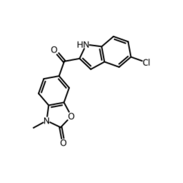 Cn1c(=O)oc2cc(C(=O)c3cc4cc(Cl)ccc4[nH]3)ccc21